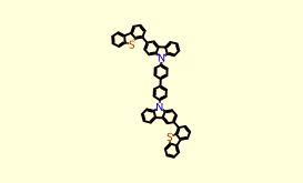 c1ccc2c(c1)sc1c(-c3ccc4c(c3)c3ccccc3n4-c3ccc(-c4ccc(-n5c6ccccc6c6cc(-c7cccc8c7sc7ccccc78)ccc65)cc4)cc3)cccc12